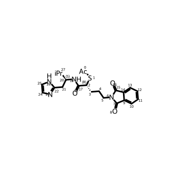 CC(=O)S[C@H](CCCN1C(=O)c2ccccc2C1=O)C(=O)N[C@@H](Cc1ncc[nH]1)C(C)C